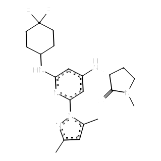 Cc1cc(C)n(-c2cc(N[C@@H]3CCN(C)C3=O)cc(NC3CCC(F)(F)CC3)n2)n1